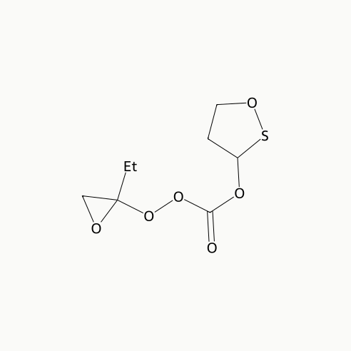 CCC1(OOC(=O)OC2CCOS2)CO1